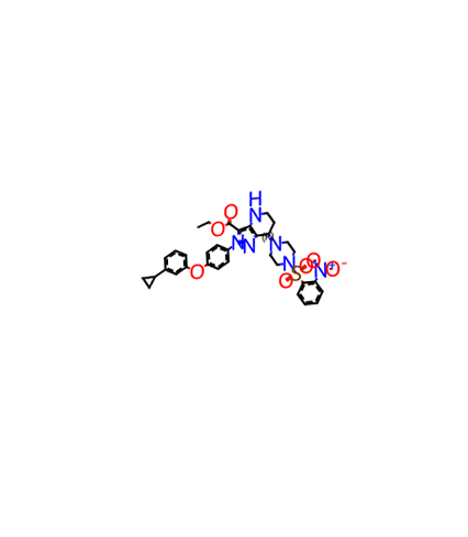 CCOC(=O)c1c2c(nn1-c1ccc(Oc3cccc(C4CC4)c3)cc1)[C@H](N1CCN(S(=O)(=O)c3ccccc3[N+](=O)[O-])CC1)CCN2